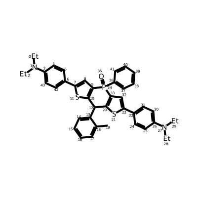 CCN(CC)c1ccc(-c2cc3c(s2)C(c2ccccc2C)c2sc(-c4ccc(N(CC)CC)cc4)cc2P3(=O)c2ccccc2)cc1